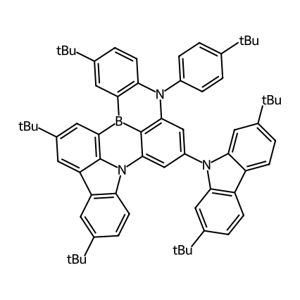 CC(C)(C)c1ccc(N2c3ccc(C(C)(C)C)cc3B3c4c2cc(-n2c5cc(C(C)(C)C)ccc5c5ccc(C(C)(C)C)cc52)cc4-n2c4ccc(C(C)(C)C)cc4c4cc(C(C)(C)C)cc3c42)cc1